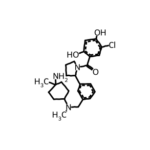 CN(Cc1cccc(C2CCCN2C(=O)c2cc(Cl)c(O)cc2O)c1)C1CCC(C)(N)CC1